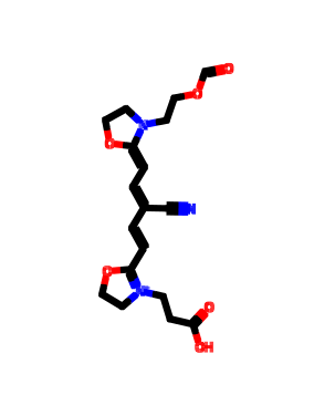 N#CC(=C\C=C1/OCCN1CCOC=O)/C=C/C1=[N+](CCC(=O)O)CCO1